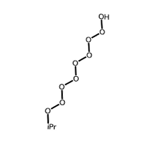 CC(C)OOOOOOOOO